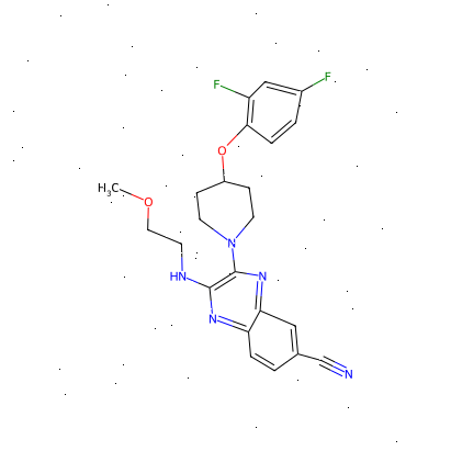 COCCNc1nc2ccc(C#N)cc2nc1N1CCC(Oc2ccc(F)cc2F)CC1